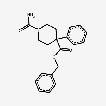 NC(=O)N1CCC(C(=O)OCc2ccccc2)(c2ccccc2)CC1